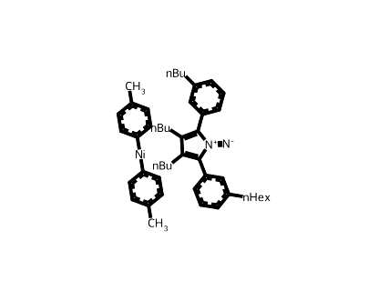 CCCCCCc1cccc(C2=C(CCCC)C(CCCC)=C(c3cccc(CCCC)c3)[N+]2=[N-])c1.Cc1cc[c]([Ni][c]2ccc(C)cc2)cc1